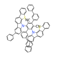 N#Cc1c(-c2cccc(-c3ccccc3)c2)c(C#N)c(-n2c3ccc(-c4ccccc4)cc3c3ccc4c5ccccc5sc4c32)c(-c2cccc(-c3ccccc3)c2)c1-n1c2ccc(-c3ccccc3)cc2c2ccc3c4ccccc4sc3c21